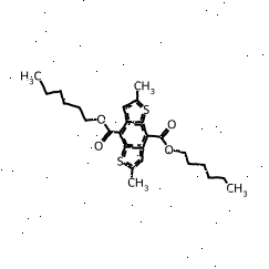 CCCCCCOC(=O)c1c2cc(C)sc2c(C(=O)OCCCCCC)c2cc(C)sc12